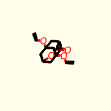 C=COC12CC3CC(OC=C)(CC(C1)C(=O)O3)C2